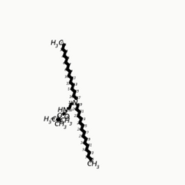 CCCCCCCCCCCCCCCCCCN(CCCCCCCCCCCCCCCCCC)CCNC(=O)OC(C)(C)C